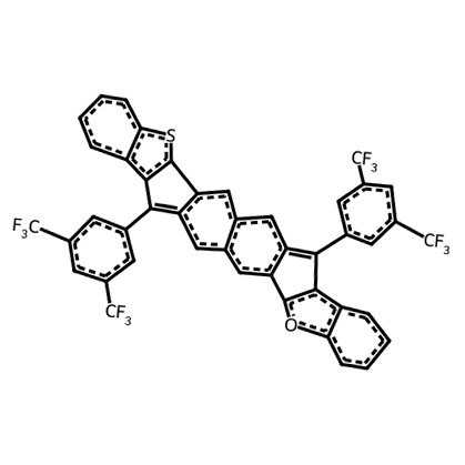 FC(F)(F)c1cc(C2=c3cc4cc5c(cc4cc3-c3oc4ccccc4c32)=C(c2cc(C(F)(F)F)cc(C(F)(F)F)c2)c2c-5sc3ccccc23)cc(C(F)(F)F)c1